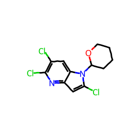 Clc1cc2c(cc(Cl)n2C2CCCCO2)nc1Cl